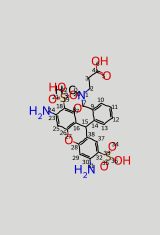 CN(CCC(=O)O)C(=O)c1ccccc1C1c2cc(S(=O)(=O)O)c(N)cc2Oc2cc(N)c(S(=O)(=O)O)cc21